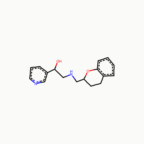 OC(CNCC1CCc2ccccc2O1)c1cccnc1